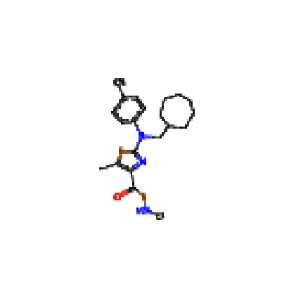 CCNSC(=O)c1nc(N(CC2CCCCCC2)c2ccc(C#N)cc2)sc1C